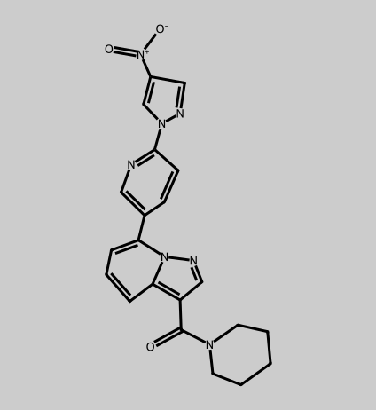 O=C(c1cnn2c(-c3ccc(-n4cc([N+](=O)[O-])cn4)nc3)cccc12)N1CCCCC1